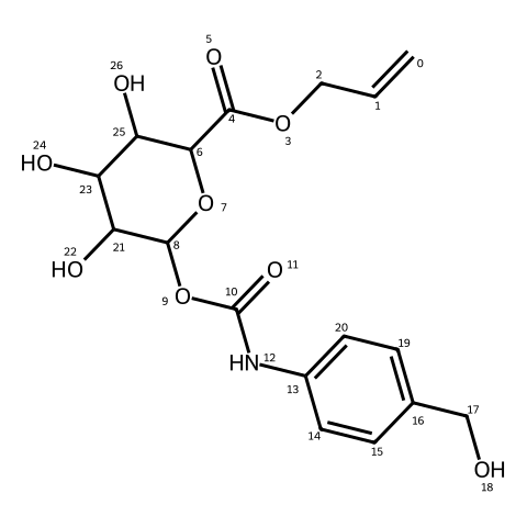 C=CCOC(=O)C1OC(OC(=O)Nc2ccc(CO)cc2)C(O)C(O)C1O